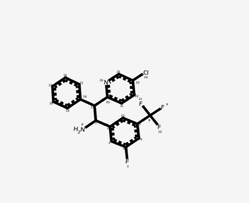 NC(c1cc(F)cc(C(F)(F)F)c1)C(c1ccccc1)c1ccc(Cl)cn1